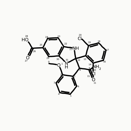 COc1ccccc1C(C(N)=O)C1(c2c(Cl)cccc2Cl)Nc2ccc(C(=O)O)cc2N1